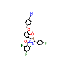 COc1c(OCc2ccc(C#N)cc2)cccc1C1SC(c2ccc(F)cc2)=NN1C(=O)c1c(F)cc(F)cc1F